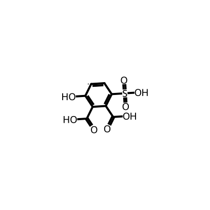 O=C(O)c1c(O)[c]cc(S(=O)(=O)O)c1C(=O)O